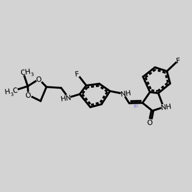 CC1(C)OCC(CNc2ccc(N/C=C3/C(=O)Nc4cc(F)ccc43)cc2F)O1